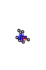 c1ccc(-c2nc(-c3cc4ccccc4c4ccccc34)nc(-n3c4ccccc4c4ccc5c6ccccc6n(-c6cccc7nc(-c8ccccc8)oc67)c5c43)n2)cc1